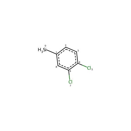 [SiH3]c1ccc(Cl)c(Cl)c1